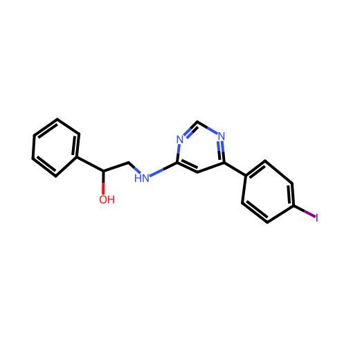 OC(CNc1cc(-c2ccc(I)cc2)ncn1)c1ccccc1